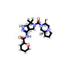 C[C@H]1CN2CCC[C@H]2CN1C(=O)N1Cc2c(NC(=O)C3CCCCO3)n[nH]c2C1(C)C